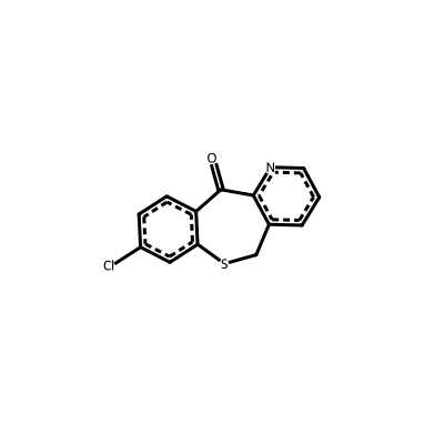 O=C1c2ccc(Cl)cc2SCc2cccnc21